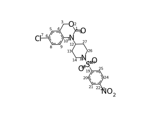 O=C1OCc2cc(Cl)ccc2N1C1CCN(S(=O)(=O)c2ccc([N+](=O)[O-])cc2)CC1